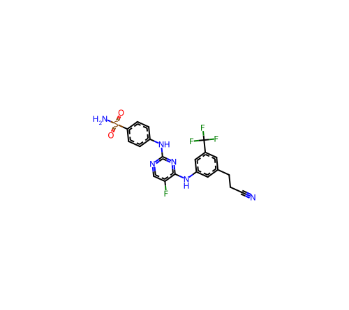 N#CCCc1cc(Nc2nc(Nc3ccc(S(N)(=O)=O)cc3)ncc2F)cc(C(F)(F)F)c1